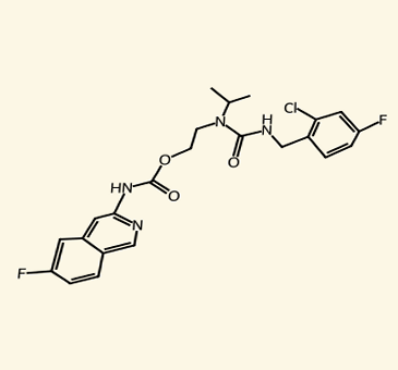 CC(C)N(CCOC(=O)Nc1cc2cc(F)ccc2cn1)C(=O)NCc1ccc(F)cc1Cl